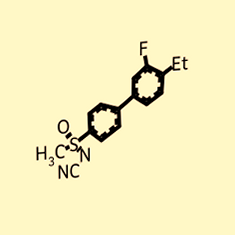 CCc1ccc(-c2ccc(S(C)(=O)=NC#N)cc2)cc1F